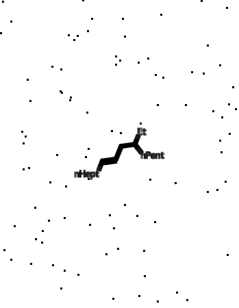 CCCCCCCC=CCC(CC)CCCCC